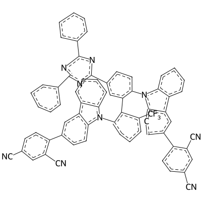 N#Cc1ccc(-c2ccc3c(c2)c2ccccc2n3-c2ccc(-c3nc(-c4ccccc4)nc(-c4ccccc4)n3)cc2-c2c(-n3c4ccccc4c4cc(-c5ccc(C#N)cc5C#N)ccc43)cccc2C(F)(F)F)c(C#N)c1